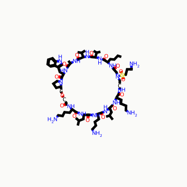 CCCCC1NC(=O)CN(S(=O)(=O)CCCN)CCNC(=O)C(CCCCN)NC(=O)C(CC(C)C)NC(=O)C(CCCCN)NC(=O)C(CC(C)C)NC(=O)C(CCCCN)NC(=O)COCC2CCCN2C(=O)C(Cc2c[nH]c3ccccc23)NC(=O)C(C)NC(=O)C(C(C)C)NC(=O)C(C(C)C)NC1=O